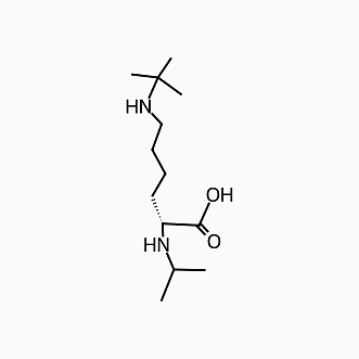 CC(C)N[C@H](CCCCNC(C)(C)C)C(=O)O